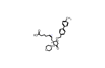 Cc1ccc(-c2ccc(CO[C@H]3CC(=O)[C@H](N4CCOCC4)[C@H]3C/C=C\CCCC(=O)O)cc2)cc1